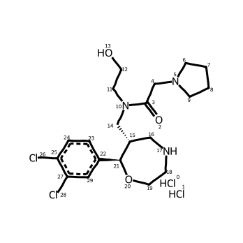 Cl.Cl.O=C(CN1CCCC1)N(CCO)C[C@@H]1CNCCO[C@H]1c1ccc(Cl)c(Cl)c1